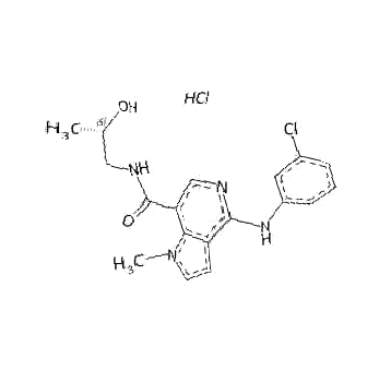 C[C@H](O)CNC(=O)c1cnc(Nc2cccc(Cl)c2)c2ccn(C)c12.Cl